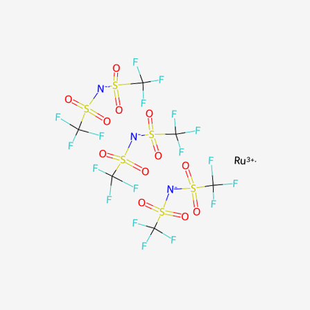 O=S(=O)([N-]S(=O)(=O)C(F)(F)F)C(F)(F)F.O=S(=O)([N-]S(=O)(=O)C(F)(F)F)C(F)(F)F.O=S(=O)([N-]S(=O)(=O)C(F)(F)F)C(F)(F)F.[Ru+3]